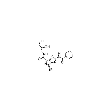 CC(C)(C)n1nc(C(=O)NC[C@H](O)CO)c2sc(NC(=O)c3ccccc3)nc21